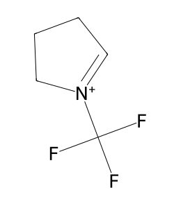 FC(F)(F)[N+]1=CCCC1